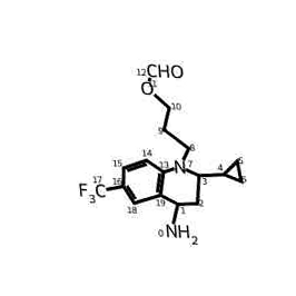 NC1CC(C2CC2)N(CCCOC=O)c2ccc(C(F)(F)F)cc21